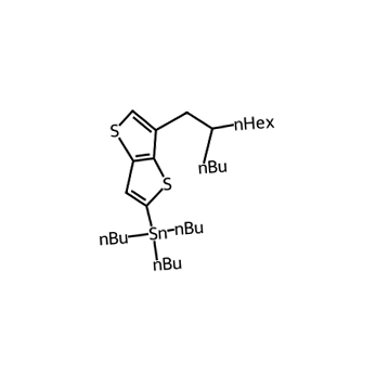 CCCCCCC(CCCC)Cc1csc2c[c]([Sn]([CH2]CCC)([CH2]CCC)[CH2]CCC)sc12